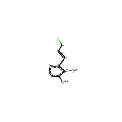 COc1cccc(/C=C/CCl)c1OC